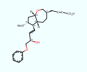 CO[C@@H]1C[C@@H]2OC[C@@H](CCCC(=O)O)CC[C@@H]2[C@H]1/C=C/[C@@H](O)COc1ccccc1